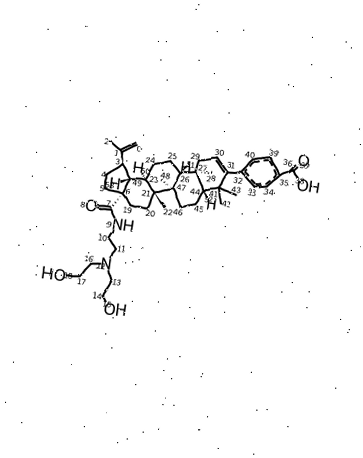 C=C(C)[C@@H]1CC[C@]2(C(=O)NCCN(CCO)CCO)CC[C@]3(C)[C@H](CC[C@@H]4[C@@]5(C)CC=C(c6ccc(C(=O)O)cc6)C(C)(C)[C@@H]5CC[C@]43C)[C@@H]12